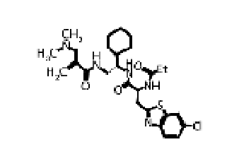 C=C(CN(C)C)C(=O)NC[C@@H](NC(=O)[C@H](Cc1nc2ccc(Cl)cc2s1)NC(=O)CC)C1CCCCC1